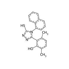 Cc1ccc(C)c(-c2nnc(S)n2-c2cccc3ccccc23)c1O